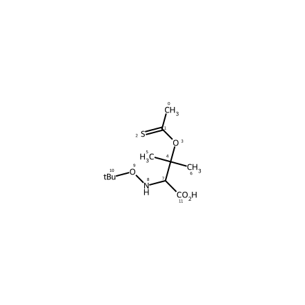 CC(=S)OC(C)(C)C(NOC(C)(C)C)C(=O)O